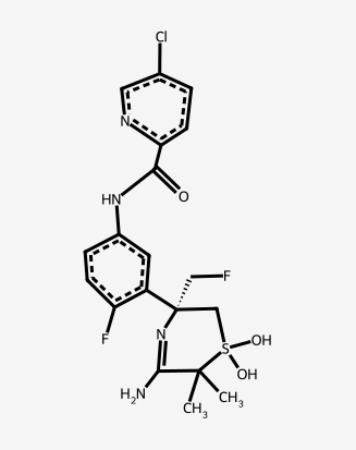 CC1(C)C(N)=N[C@@](CF)(c2cc(NC(=O)c3ccc(Cl)cn3)ccc2F)CS1(O)O